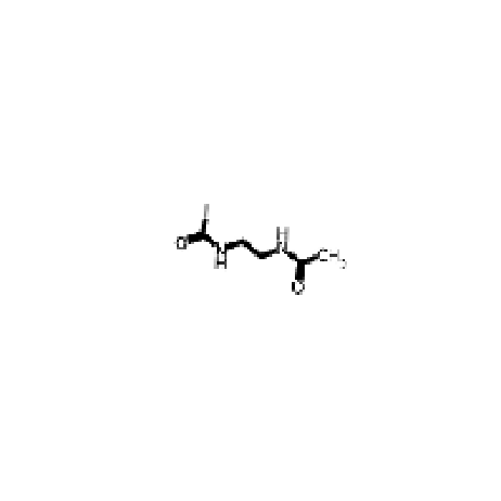 CC(=O)NCCNC(=O)I